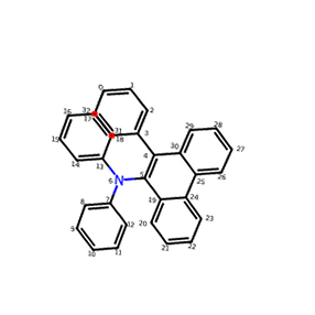 c1ccc(-c2c(N(c3ccccc3)c3ccccc3)c3ccccc3c3ccccc23)cc1